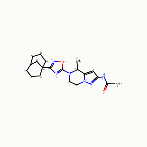 CNC(=O)Nc1cc2n(n1)CCN(c1nc(C34CCCC(CCC3)C4)no1)C2C